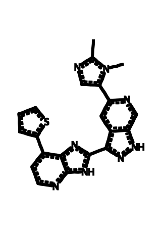 Cc1ncc(-c2cc3c(-c4nc5c(-c6cccs6)ccnc5[nH]4)n[nH]c3cn2)n1C